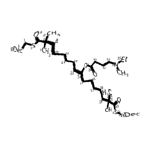 CCCCCCCCCCCSC(=O)C(C)(C)CCCCCCC(CCCCCC(C)(C)C(=O)SCCCCCCCCCC)OC(=O)CCCN(C)CC